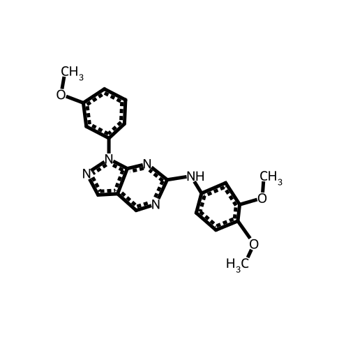 COc1cccc(-n2ncc3cnc(Nc4ccc(OC)c(OC)c4)nc32)c1